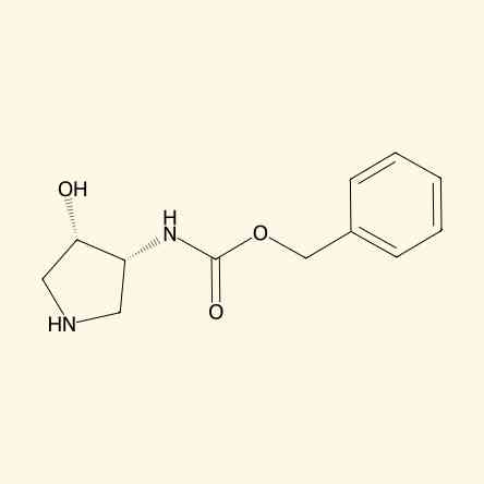 O=C(N[C@@H]1CNC[C@@H]1O)OCc1ccccc1